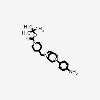 CC(C)(C)OC(=O)N1CCC(CN2CC3CC2CN(c2ccc(N)cc2)C3)CC1